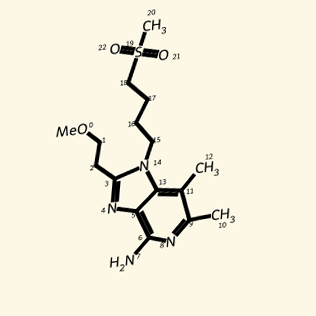 COCCc1nc2c(N)nc(C)c(C)c2n1CCCCS(C)(=O)=O